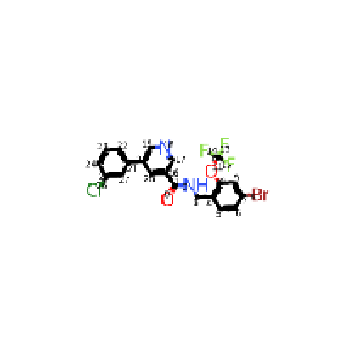 O=C(NCc1ccc(Br)cc1OC(F)(F)F)c1cncc(-c2cccc(Cl)c2)c1